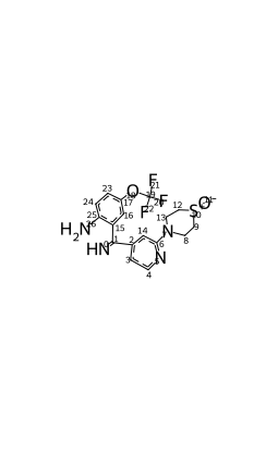 N=C(c1ccnc(N2CC[S+]([O-])CC2)c1)c1cc(OC(F)(F)F)ccc1N